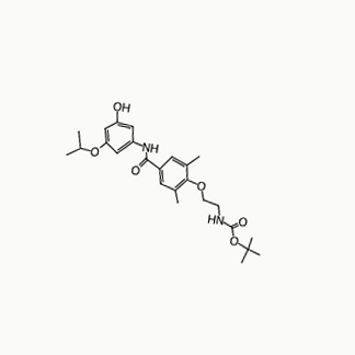 Cc1cc(C(=O)Nc2cc(O)cc(OC(C)C)c2)cc(C)c1OCCNC(=O)OC(C)(C)C